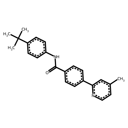 Cc1ccnc(-c2ccc(C(=O)Nc3ccc(C(C)(C)C)cc3)cc2)c1